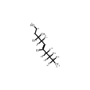 CC/C(=C\C(F)(F)C(C)(CC)CCO)C(F)(F)C(F)(F)C(F)(F)C(F)(F)F